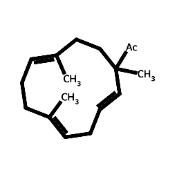 CC(=O)C1(C)/C=C/C/C=C(\C)CC/C=C(\C)CC1